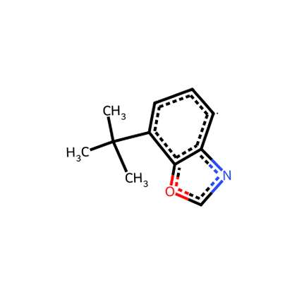 CC(C)(C)c1cc[c]c2ncoc12